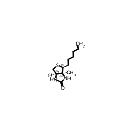 C=CCCCC[C@@H]1SC[C@@H]2NC(=O)N[C@@]21C